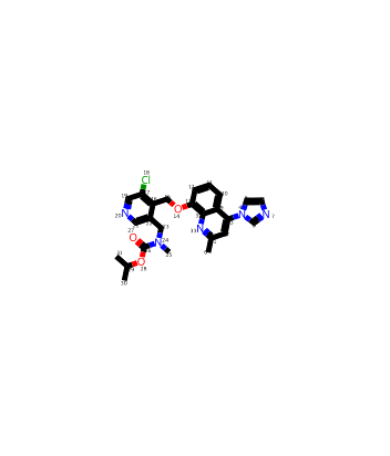 Cc1cc(-n2ccnc2)c2cccc(OCc3c(Cl)cncc3CN(C)C(=O)OC(C)C)c2n1